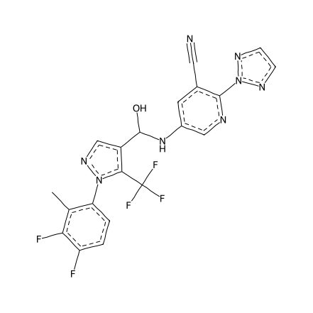 Cc1c(-n2ncc(C(O)Nc3cnc(-n4nccn4)c(C#N)c3)c2C(F)(F)F)ccc(F)c1F